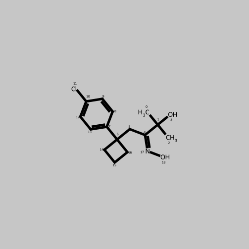 CC(C)(O)C(CC1(c2ccc(Cl)cc2)CCC1)=NO